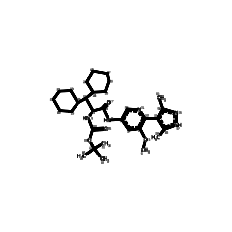 COc1cc(NC(=O)[C@@H](NC(=O)OC(C)(C)C)C(C2CCCCC2)C2CCCCC2)cnc1-c1c(C)n[nH]c1C